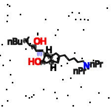 CCCC[C@H](C)C[C@H](O)/C=C/[C@@H]1[C@H]2CC(CCCCCN(CCC)CCC)=C[C@H]2C[C@H]1O